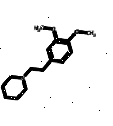 COc1ccc(CCN2CC[CH]CC2)cc1OC